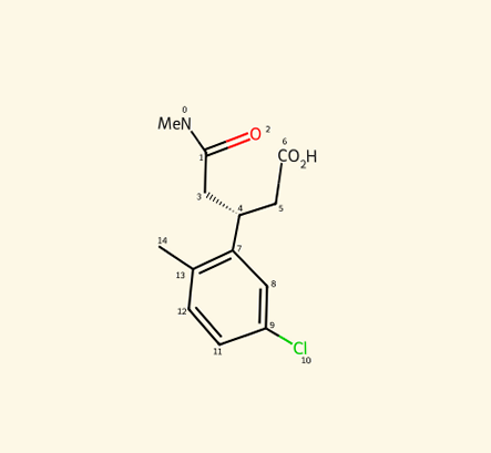 CNC(=O)C[C@H](CC(=O)O)c1cc(Cl)ccc1C